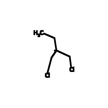 CC[C](CCl)CCl